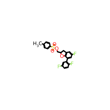 Cc1ccc(S(=O)(=O)OCC2Cc3cc(F)cc(-c4cc(F)ccc4F)c3O2)cc1